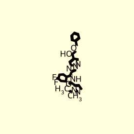 CC(C)n1nccc1C(=O)N[C@H](c1cn2ncc(C(O)COCc3ccccc3)cc2n1)C1CCC(F)(F)CC1